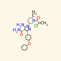 C=C(Cl)C(=O)N1CC(n2nc(-c3ccc(Oc4ccccc4)cc3)c(C(N)=O)c2N)CCC1C